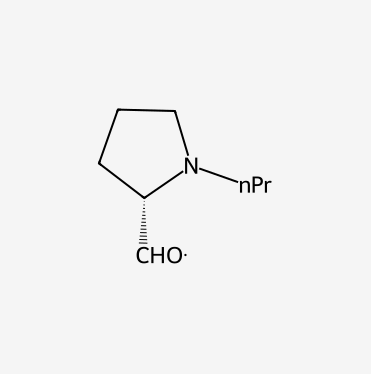 CCCN1CCC[C@H]1[C]=O